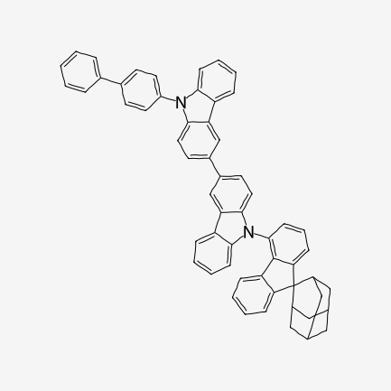 c1ccc(-c2ccc(-n3c4ccccc4c4cc(-c5ccc6c(c5)c5ccccc5n6-c5cccc6c5-c5ccccc5C65C6CC7CC(C6)CC5C7)ccc43)cc2)cc1